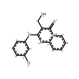 O=c1c(CO)c(Oc2cccc(Cl)c2)nc2ccccn12